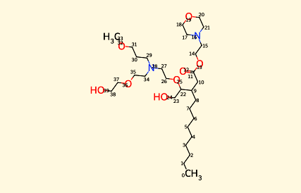 CCCCCCCCCC(CC(=O)OCCN1CCOCC1)C(CO)OCCN(CCCOC)CCOCCO